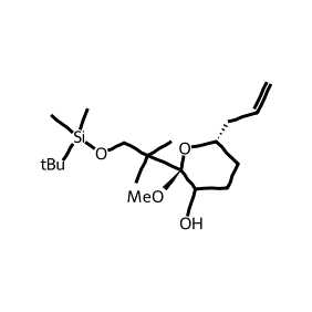 C=CC[C@@H]1CCC(O)[C@](OC)(C(C)(C)CO[Si](C)(C)C(C)(C)C)O1